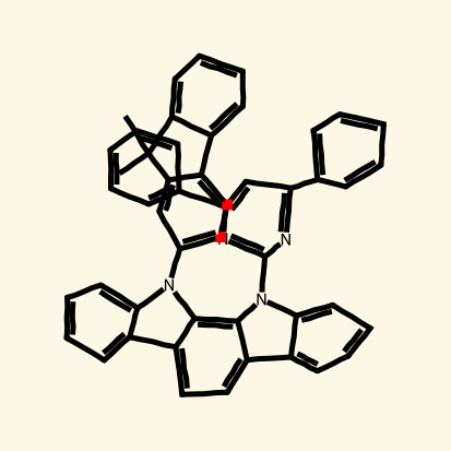 CC1(C)c2ccccc2-c2ccc(-n3c4ccccc4c4ccc5c6ccccc6n(-c6nc(-c7ccccc7)cc(-c7ccccc7)n6)c5c43)cc21